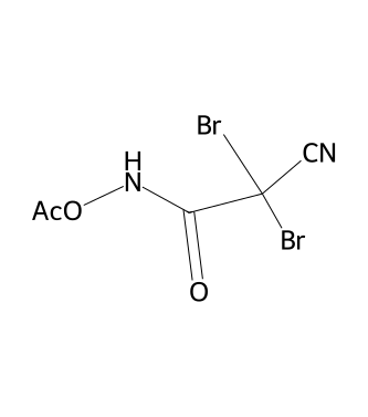 CC(=O)ONC(=O)C(Br)(Br)C#N